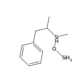 CC(Cc1ccccc1)[SiH](C)O[SiH3]